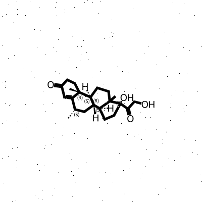 C[C@H]1C[C@H]2[C@@H]3CC[C@](O)(C(=O)CO)C3(C)CC[C@@H]2[C@@]2(C)CCC(=O)C=C12